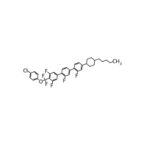 CCCCCC1CCC(c2ccc(-c3ccc(-c4cc(F)c(C(F)(F)Oc5ccc(Cl)cc5)c(F)c4)c(F)c3)c(F)c2)CC1